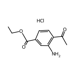 CCOC(=O)c1ccc(C(C)=O)c(N)c1.Cl